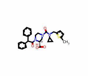 Cc1ccc(CN(C(=O)N2CCN(C(=O)C(c3ccccc3)c3ccccc3)[C@H](C(=O)O)C2)C2CC2)s1